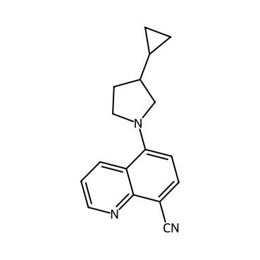 N#Cc1ccc(N2CCC(C3CC3)C2)c2cccnc12